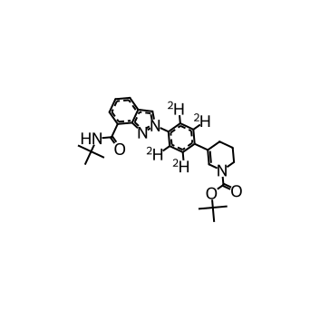 [2H]c1c([2H])c(-n2cc3cccc(C(=O)NC(C)(C)C)c3n2)c([2H])c([2H])c1C1=CN(C(=O)OC(C)(C)C)CCC1